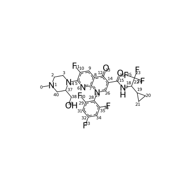 CN1CCN(c2nc3c(cc2F)c(=O)c(C(=O)NC(C2CC2)C(F)(F)F)cn3-c2c(F)cc(F)cc2F)C(CO)C1